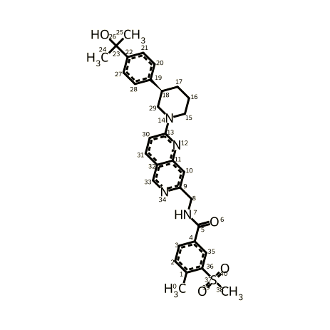 Cc1ccc(C(=O)NCc2cc3nc(N4CCC[C@H](c5ccc(C(C)(C)O)cc5)C4)ccc3cn2)cc1S(C)(=O)=O